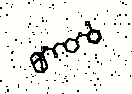 O=C(CN1CCCC(Oc2ccccc2Cl)C1)NC1C2CC3CC(C2)CC1C3